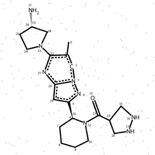 Cc1cn2nc([C@@H]3CCCCN3C(=O)C3CNNC3)cc2nc1N1CC[C@H](N)C1